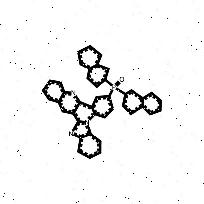 O=P(c1ccc2ccccc2c1)(c1ccc2ccccc2c1)c1ccc2c(c1)c1nc3ccccc3cc1c1nc3ccccc3n21